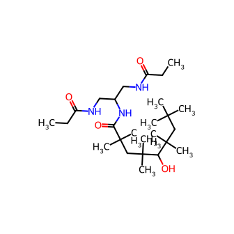 CCC(=O)NCC(CNC(=O)CC)NC(=O)C(C)(C)CC(C)(C)C(O)C(C)(C)CC(C)(C)C